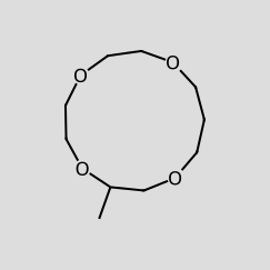 CC1COCCCOCCOCCO1